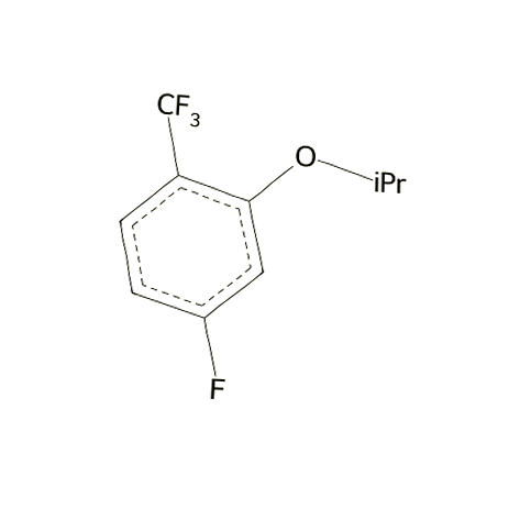 CC(C)Oc1cc(F)ccc1C(F)(F)F